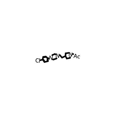 CC(=O)CN1CCC(CCN2CCN(c3ccc(Cl)cc3)CC2)CC1